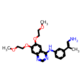 COCCOc1cc2ncnc(Nc3cccc(C(C)=CN)c3)c2cc1OCCOC